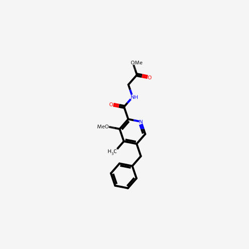 COC(=O)CNC(=O)c1ncc(Cc2ccccc2)c(C)c1OC